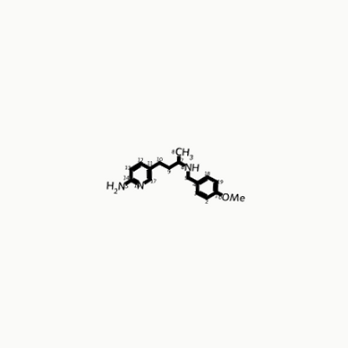 COc1ccc(CNC(C)CCc2ccc(N)nc2)cc1